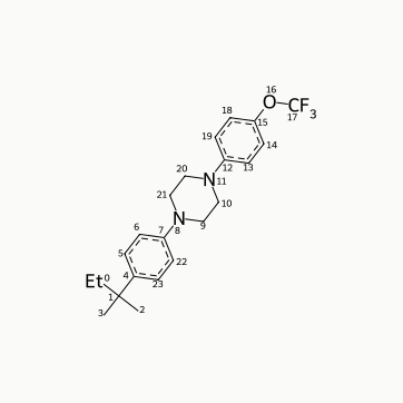 CCC(C)(C)c1ccc(N2CCN(c3ccc(OC(F)(F)F)cc3)CC2)cc1